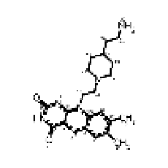 Cc1cc2nc3c(=O)[nH]c(=O)nc-3n(CCN3CCC(CCN)CC3)c2cc1C